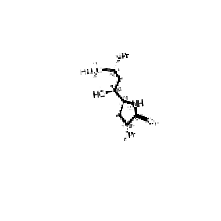 CC(C)[C@H](C[C@H](O)[C@@H]1C[C@@H](C(C)C)C(=O)N1)C(=O)O